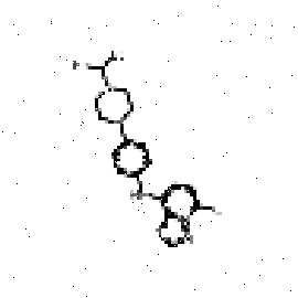 CCC(CC)N1CCN(c2ccc(Nc3ccc(Cl)n4ncnc34)cc2)CC1